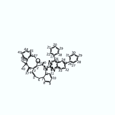 C=C1/C2=C(\C=C/CC3C=CC=CC3N1c1nc(-c3ccccc3)c3cc(-c4ccccc4)ccc3n1)C(=C)C(C)(C)c1ccccc1CO2